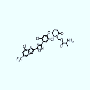 CC(N)C(=O)OCN1C[C@H](Oc2cc(Cl)c(-c3noc(-c4cn5cc(C(F)(F)F)cc(Cl)c5n4)n3)cc2Cl)CCC1=O